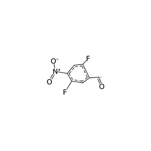 O=[C]c1cc(F)c([N+](=O)[O-])cc1F